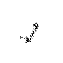 CC1=C(CCCCCCCCCc2ccccc2)OC1=O